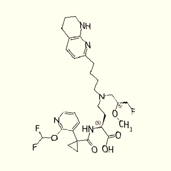 CO[C@H](CF)CN(CCCCc1ccc2c(n1)NCCC2)CC[C@H](NC(=O)C1(c2cccnc2OC(F)F)CC1)C(=O)O